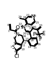 C=CC(=O)N1Cc2sc(Cl)cc2[C@H](c2ccccc2/C(=C/N(C)c2ccncc2C)C(C)C(=C)C(F)(F)F)C1